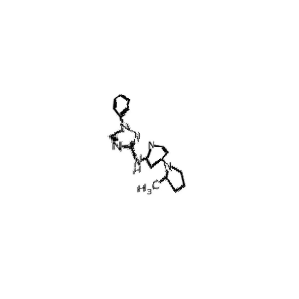 CC1CCCN1c1ccnc(Nc2ncn(-c3ccccc3)n2)c1